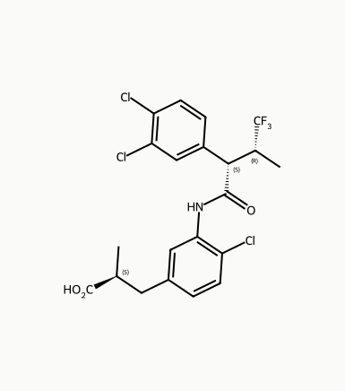 C[C@H]([C@H](C(=O)Nc1cc(C[C@H](C)C(=O)O)ccc1Cl)c1ccc(Cl)c(Cl)c1)C(F)(F)F